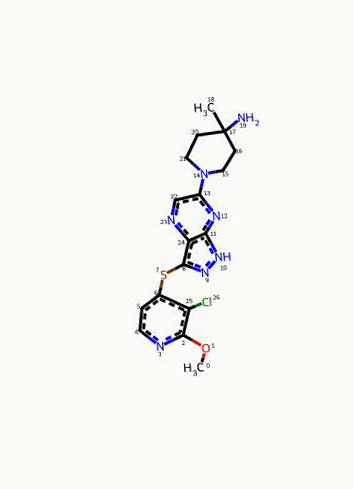 COc1nccc(Sc2n[nH]c3nc(N4CCC(C)(N)CC4)cnc23)c1Cl